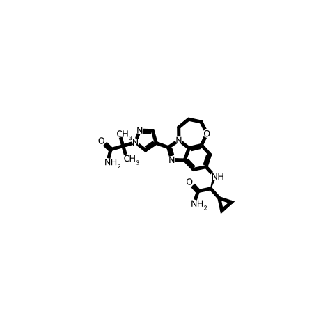 CC(C)(C(N)=O)n1cc(-c2nc3cc(N[C@H](C(N)=O)C4CC4)cc4c3n2CCCO4)cn1